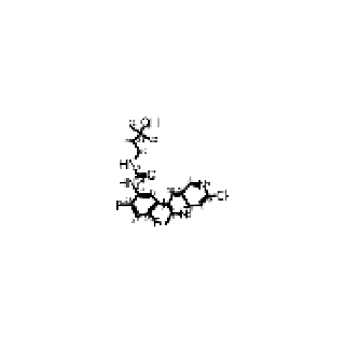 Cc1nc2cc(Cl)ncc2cc1-c1cc(NC(=O)NCCC(C)(C)O)c(F)cc1F